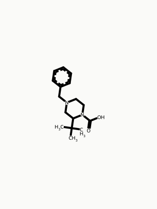 CC(C)(C)C1CN(Cc2ccccc2)CCN1C(=O)O